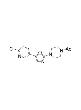 CC(=O)N1CCN(c2ncc(-c3ccc(Cl)nc3)o2)CC1